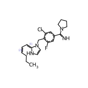 CCC/C=C\C=C1/NC=CN1Cc1c(F)cc(C(=N)N2CCCC2)cc1Cl